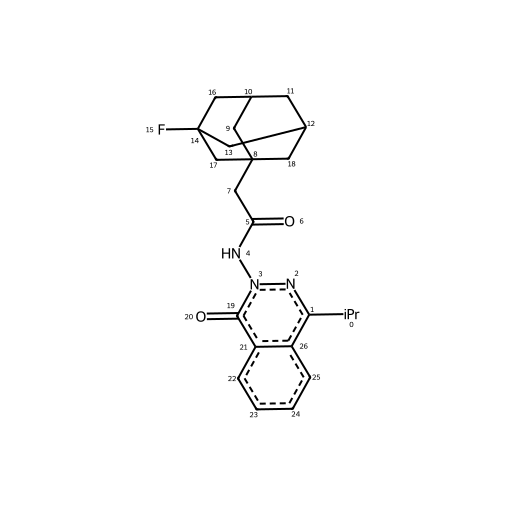 CC(C)c1nn(NC(=O)CC23CC4CC(CC(F)(C4)C2)C3)c(=O)c2ccccc12